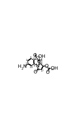 Nc1ccc(S(=O)(=O)O)c(-n2[nH]c(OC(=O)O)cc2=O)c1